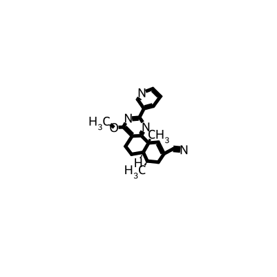 COc1nc(-c2cccnc2)nc2c1CC[C@@H]1[C@@H](C)CC(C#N)=C[C@@]21C